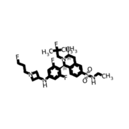 CCNS(=O)(=O)c1ccc2c(c1)C[C@@H](C)N(CC(C)(C)F)[C@@H]2c1c(F)cc(NC2CN(CCCF)C2)cc1F